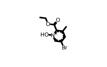 CCOC(=O)c1c(C)cc(Br)c[n+]1O